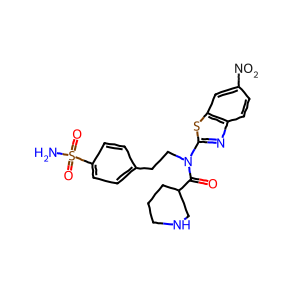 NS(=O)(=O)c1ccc(CCN(C(=O)C2CCCNC2)c2nc3ccc([N+](=O)[O-])cc3s2)cc1